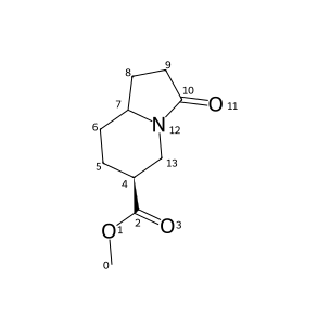 COC(=O)[C@H]1CCC2CCC(=O)N2C1